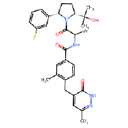 Cc1cc(Cc2ccc(C(=O)NC(C(=O)N3[C@H](c4cccc(F)c4)CC[C@@H]3C(C)(C)O)C(C)C)cc2C)c(=O)[nH]n1